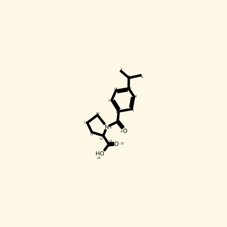 CC(C)c1ccc(C(=O)N2CCCC2C(=O)O)cc1